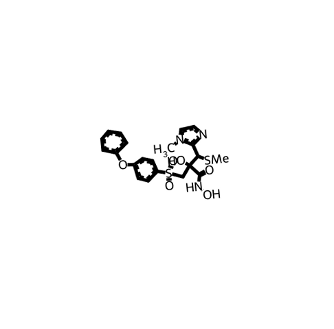 CSC(c1nccn1C)C(O)(CS(=O)(=O)c1ccc(Oc2ccccc2)cc1)C(=O)NO